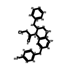 O=C(CCl)N1c2cc(Cc3ccc(F)cc3)cnc2OCC1Cc1ccccc1